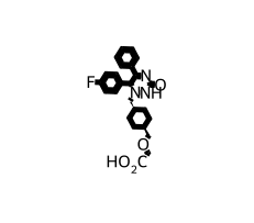 O=C(O)COC[C@H]1CC[C@H](CN2NC(=O)N=C(c3ccccc3)C2c2ccc(F)cc2)CC1